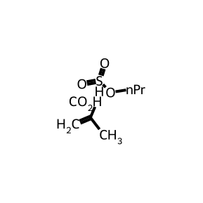 C=C(C)C(=O)O.CCCO[SH](=O)=O